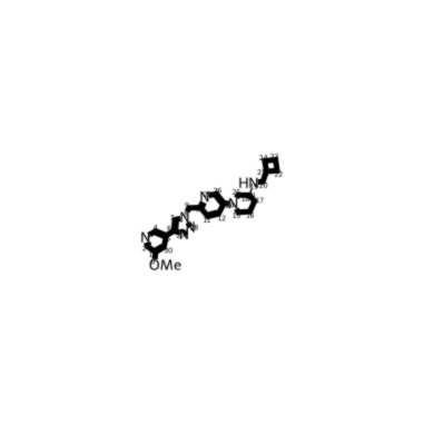 COc1cncc(-c2cn(Cc3ccc(N4CCC[C@@H](NCC5CCC5)C4)cn3)nn2)c1